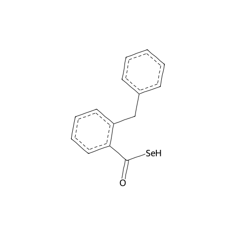 O=C([SeH])c1ccccc1Cc1ccccc1